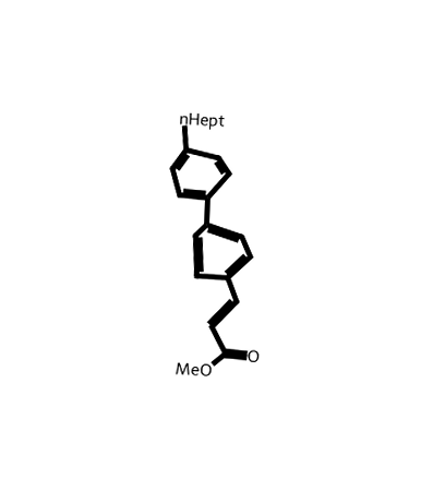 CCCCCCCc1ccc(-c2ccc(C=CC(=O)OC)cc2)cc1